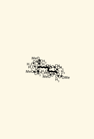 COC(C)OC(C)OC(CCCCC(C)C(=O)C(C)CCCCC(OC(C)OC(C)OC)(OC(C)OC(C)OC)OC(C)OC(C)OC)(OC(C)OC(C)OC)OC(C)OC(C)OC